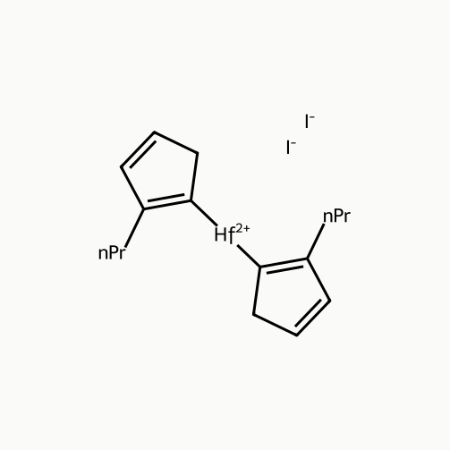 CCCC1=[C]([Hf+2][C]2=C(CCC)C=CC2)CC=C1.[I-].[I-]